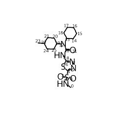 CNS(=O)(=O)c1nnc(NC(=O)N(C2CCCCC2)C2CCC(C)CC2)s1